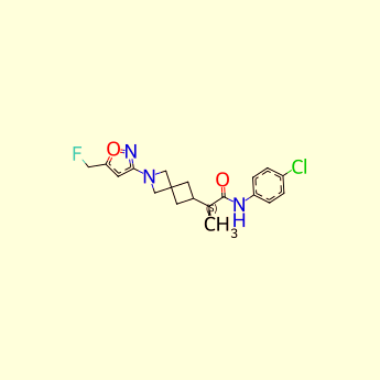 C[C@H](C(=O)Nc1ccc(Cl)cc1)C1CC2(C1)CN(c1cc(CF)on1)C2